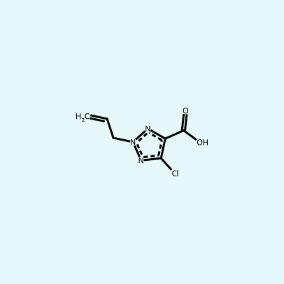 C=CCn1nc(Cl)c(C(=O)O)n1